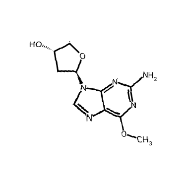 COc1nc(N)nc2c1ncn2[C@H]1C[C@H](O)[CH]O1